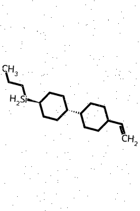 C=CC1CCC([C@H]2CC[C@H]([SiH2]CCC)CC2)CC1